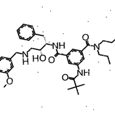 CCCN(CCC)C(=O)c1cc(NC(=O)C(C)(C)C)cc(C(=O)N[C@@H](Cc2ccccc2)[C@H](O)CNCc2cccc(OC)c2)c1